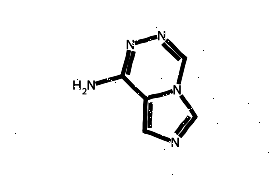 Nc1nncn2cncc12